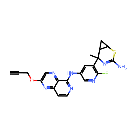 C#CCOc1cnc2c(Nc3cnc(F)c(C4(C)N=C(N)SC5CC54)c3)nccc2n1